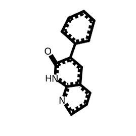 O=c1[nH]c2ncccc2cc1-c1ccccc1